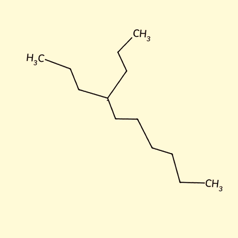 CCCCCC[C](CCC)CCC